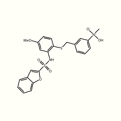 COc1ccc(SCc2cccc([N+](C)([O-])O)c2)c(NS(=O)(=O)c2cc3ccccc3o2)c1